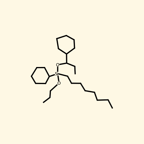 CCCCCCCC[Si](OCCC)(OC(CC)C1CCCCC1)C1CCCCC1